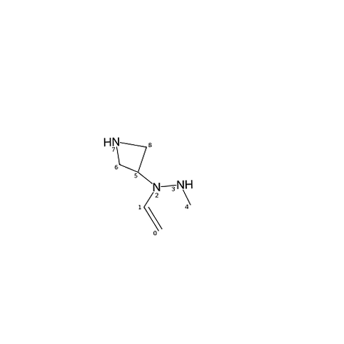 C=CN(NC)C1CNC1